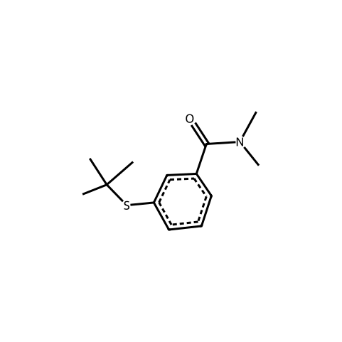 CN(C)C(=O)c1cccc(SC(C)(C)C)c1